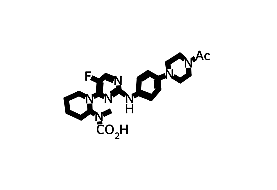 CC(=O)N1CCN(c2ccc(Nc3ncc(F)c(N4CCCCC4N(C)C(=O)O)n3)cc2)CC1